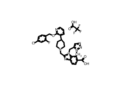 Cn1nncc1Cn1c(CN2CCC(c3cccnc3OCc3ccc(Cl)cc3F)CC2)nc2ccc(C(=O)O)cc21.O=C(O)C(F)(F)F